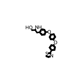 NC(CO)Cc1ccc(Oc2ccc(Oc3ccc(-c4nccs4)cc3)cc2)cc1